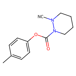 Cc1ccc(OC(=O)N2CCCCN2C#N)cc1